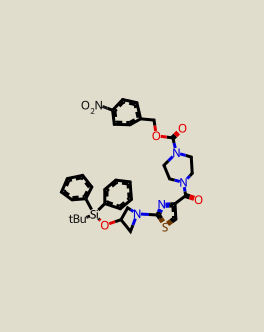 CC(C)(C)[Si](OC1CN(c2nc(C(=O)N3CCN(C(=O)OCc4ccc([N+](=O)[O-])cc4)CC3)cs2)C1)(c1ccccc1)c1ccccc1